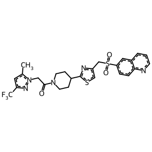 Cc1cc(C(F)(F)F)nn1CC(=O)N1CCC(c2nc(CS(=O)(=O)c3ccc4ncccc4c3)cs2)CC1